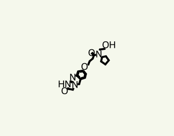 O=C1CN2Cc3ccc(OCCCC(=O)N(CCO)C4CCCC4)cc3N=C2N1